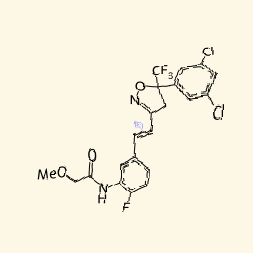 COCC(=O)Nc1cc(/C=C/C2=NOC(c3cc(Cl)cc(Cl)c3)(C(F)(F)F)C2)ccc1F